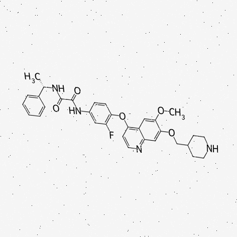 COc1cc2c(Oc3ccc(NC(=O)C(=O)N[C@@H](C)c4ccccc4)cc3F)ccnc2cc1OCC1CCNCC1